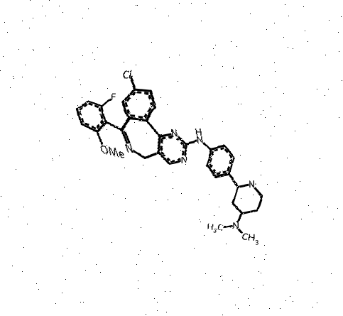 COc1cccc(F)c1C1=NCc2cnc(Nc3ccc(C4CC(N(C)C)CC[N]4)cc3)nc2-c2ccc(Cl)cc21